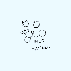 CN[C@@H](N)C(=O)N[C@H](C(=O)N1CCCC1C(=O)Nc1snnc1-c1ccccc1)C1CCCCC1